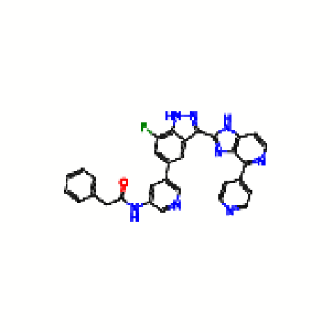 O=C(Cc1ccccc1)Nc1cncc(-c2cc(F)c3[nH]nc(-c4nc5c(-c6ccncc6)nccc5[nH]4)c3c2)c1